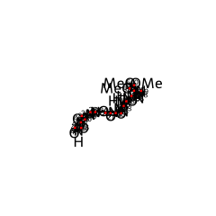 COc1cc(-c2c(NC(=O)Nc3cnc(-c4noc(CNC(=O)C=COCCN5CCN(c6ccc7c(c6)CN(C6CCC(=O)NC6=O)C7=O)CC5)n4)c(C)c3)cnc3ccnn23)cc(OC)c1OC